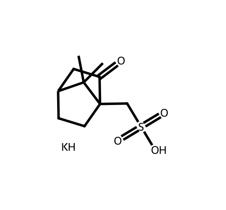 CC1(C)C2CCC1(CS(=O)(=O)O)C(=O)C2.[KH]